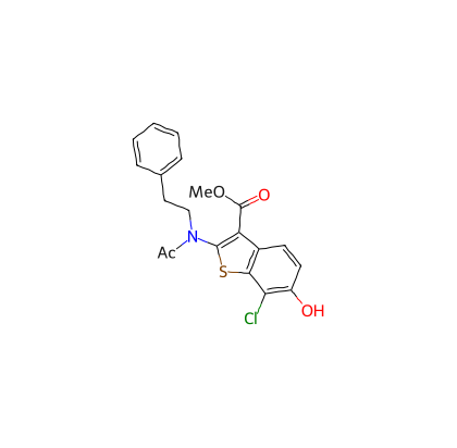 COC(=O)c1c(N(CCc2ccccc2)C(C)=O)sc2c(Cl)c(O)ccc12